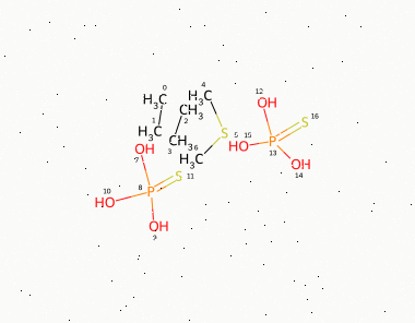 CC.CC.CSC.OP(O)(O)=S.OP(O)(O)=S